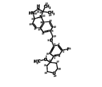 COC1(c2cc(F)cc(OCc3ccc4c(c3)C=CC3NNC(C)(C)N43)c2)CCOCC1